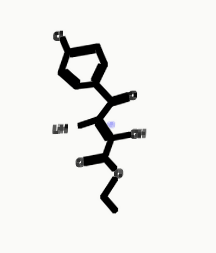 CCOC(=O)/C(O)=C(\C)C(=O)c1ccc(Cl)cc1.[LiH]